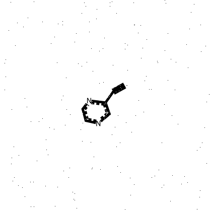 [C]#Cc1cnccn1